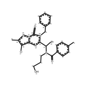 Cc1ccc(C(=O)N(CCCO)C(c2nc3c(Cl)c(C)nn3c(=O)n2Cc2ccccc2)C(C)C)cc1